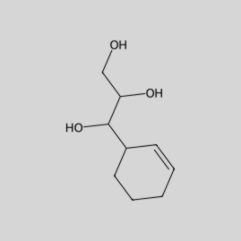 OCC(O)C(O)C1C=CCCC1